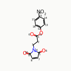 O=C(CCN1C(=O)C=CC1=O)Oc1ccc([N+](=O)[O-])cc1